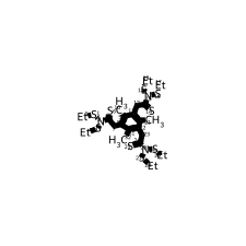 CCSN(SCC)C(=S)Cc1c(C)c(CC(=S)N(SCC)SCC)c(C)c(CC(=S)N(SCC)SCC)c1C